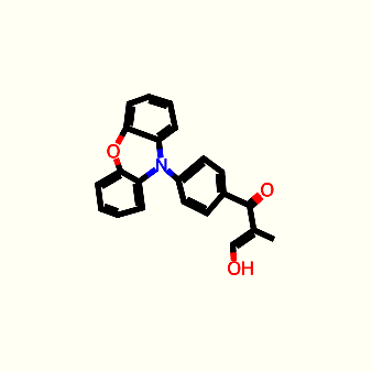 CC(=CO)C(=O)c1ccc(N2c3ccccc3Oc3ccccc32)cc1